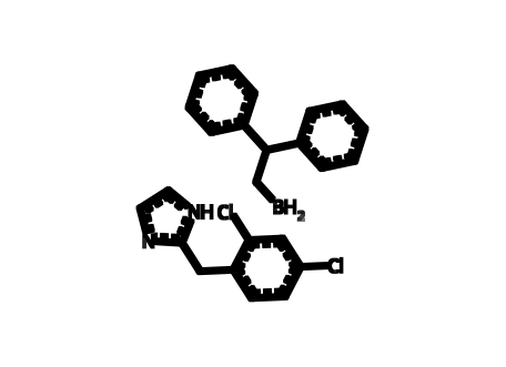 BCC(c1ccccc1)c1ccccc1.Clc1ccc(Cc2ncc[nH]2)c(Cl)c1